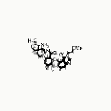 COCCn1cnc2ccc(Sc3nc(C(N)=O)c(N4CCC5(CC4)CO[C@@H](C)[C@H]5N)nc3N)c(Cl)c2c1=O